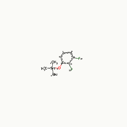 CC(C)(C)[Si](C)(C)Oc1cccc(F)c1F